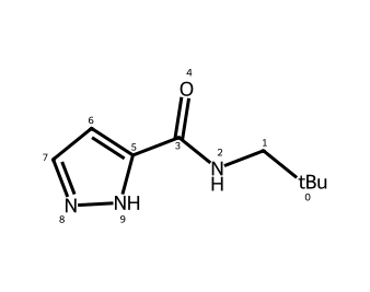 CC(C)(C)CNC(=O)c1ccn[nH]1